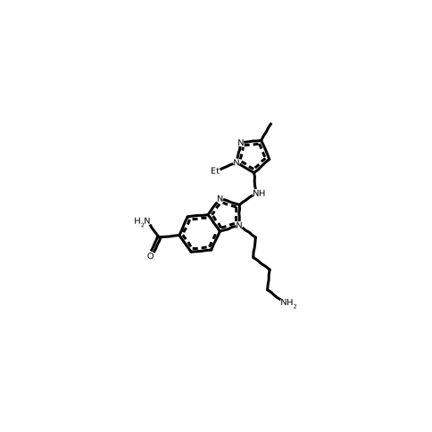 CCn1nc(C)cc1Nc1nc2cc(C(N)=O)ccc2n1CCCCN